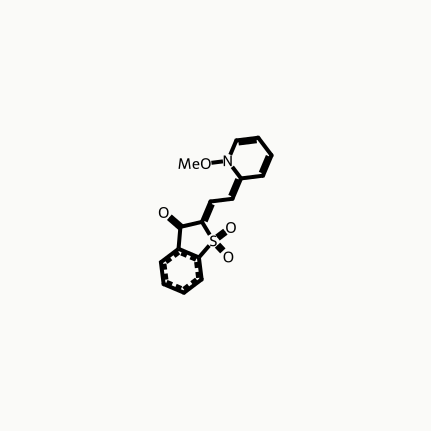 CON1C=CC=CC1=CC=C1C(=O)c2ccccc2S1(=O)=O